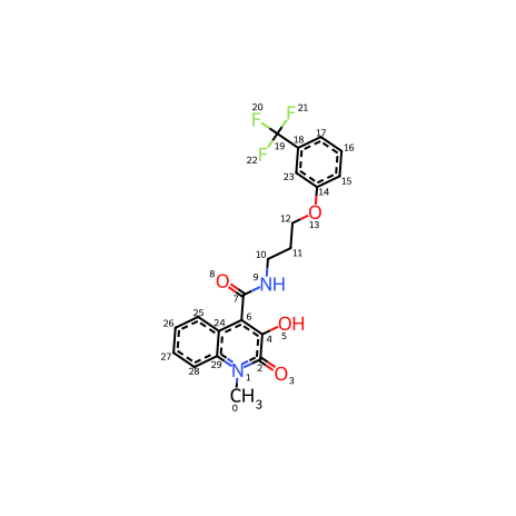 Cn1c(=O)c(O)c(C(=O)NCCCOc2cccc(C(F)(F)F)c2)c2ccccc21